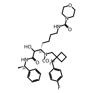 C[C@@H](NC(=O)C(O)[C@H](CCCCNC(=O)N1CCOCC1)N(CC1(Cc2ccc(F)cc2)CCC1)C(=O)O)c1ccccc1